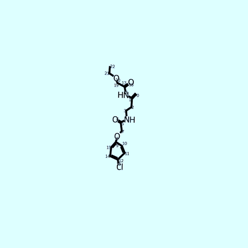 C=C(CCNC(=O)COc1ccc(Cl)cc1)NC(=O)COCC